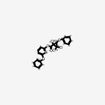 CC1(C(=O)Oc2cccc(Oc3ccccc3)n2)C(Oc2ccccc2)C1(Cl)Cl